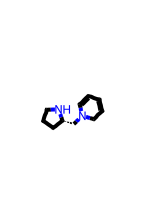 C1=CCN(C[C@@H]2CCCN2)C=C1